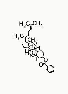 CC(C)=CC=C[C@@H](C)[C@H]1CC[C@H]2[C@@H]3CC[C@H]4C[C@@H](OC(=O)c5ccccc5)CC[C@]4(C)[C@H]3CC[C@]12C